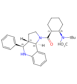 CC(C)(C)N(C(=O)O)[C@@H]1CCCC[C@@H]1C(=O)N1CC[C@H]2[C@H](c3ccccc3)Nc3ccccc3[C@@H]21